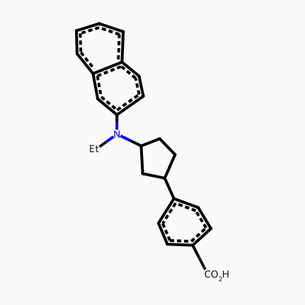 CCN(c1ccc2ccccc2c1)C1CCC(c2ccc(C(=O)O)cc2)C1